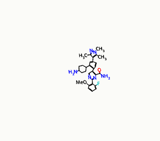 COc1cccc(F)c1-c1ncc(-c2ccc(-c3c(C)nn(C)c3C)cc2C2CCC(N)CC2)c(C(N)=O)n1